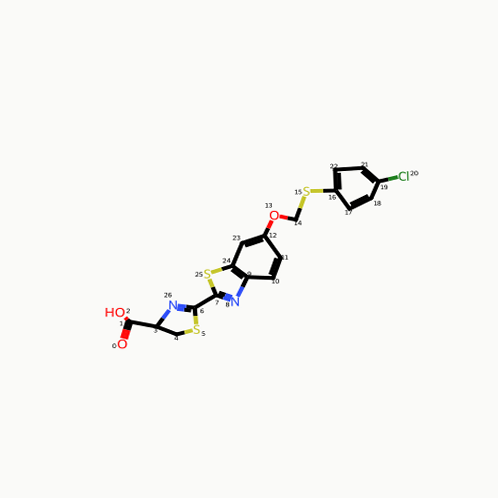 O=C(O)C1CSC(c2nc3ccc(OCSc4ccc(Cl)cc4)cc3s2)=N1